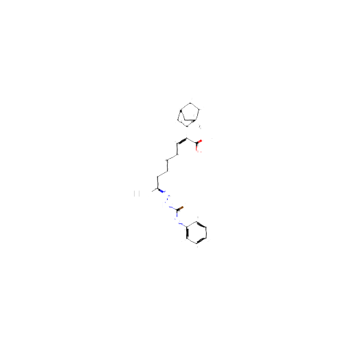 CC(CCCCC=C(C(=O)O)[C@@H]1CC2CC[C@@H]1C2)=NNC(=S)Nc1ccccc1